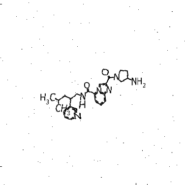 CC(C)CC(CNC(=O)c1cccc2nc(C(=O)N3CCC(N)C3)cn12)c1cccnc1